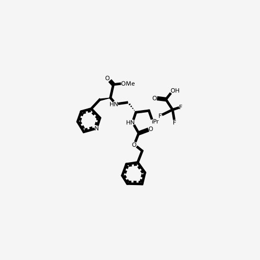 COC(=O)[C@H](Cc1cccnc1)NC[C@H](CC(C)C)NC(=O)OCc1ccccc1.O=C(O)C(F)(F)F